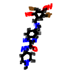 CN1CCC(NC(=O)c2nc3cc(/N=C/c4cc(Br)c(O)c(Br)c4O)ccc3[nH]2)CC1